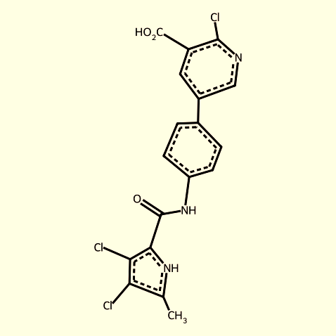 Cc1[nH]c(C(=O)Nc2ccc(-c3cnc(Cl)c(C(=O)O)c3)cc2)c(Cl)c1Cl